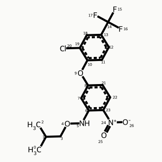 CC(C)CONc1cc(Oc2ccc(C(F)(F)F)cc2Cl)ccc1[N+](=O)[O-]